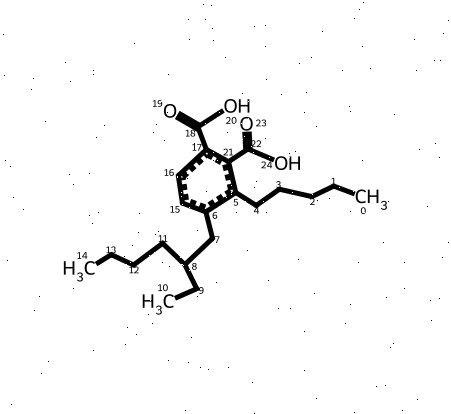 CCCCCc1c(CC(CC)CCCC)ccc(C(=O)O)c1C(=O)O